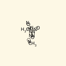 CN1CCCC(c2nc(-c3nc(N4CCOCC4)c4nc(-c5ccncc5)n(C)c4n3)no2)C1